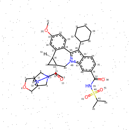 CCN1CC23COCC2(C1)CN(C(=O)[C@]12C[C@H]1c1cc(OC)ccc1-c1c(C4CCCCC4)c4ccc(C(=O)NS(=O)(=O)C(C)C)cc4n1C2)C3